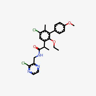 CCOc1c(C(C)C(=O)NCc2nccnc2Cl)cc(Cl)c(C)c1-c1ccc(OC)cc1